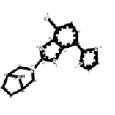 Clc1ccc(-c2nccs2)c2oc(N3CC4CCC(C3)N4)nc12